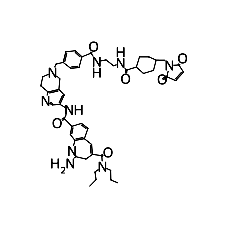 CCCN(CCC)C(=O)C1=Cc2ccc(C(=O)Nc3cnc4c(c3)CN(Cc3ccc(C(=O)NCCNC(=O)C5CCC(CN6C(=O)C=CC6=O)CC5)cc3)CC4)cc2N=C(N)C1